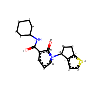 O=C(NC1CCCCC1)c1cccn(C2CCc3sccc32)c1=O